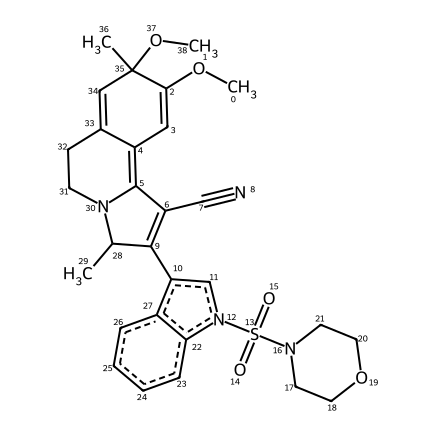 COC1=CC2=C3C(C#N)=C(c4cn(S(=O)(=O)N5CCOCC5)c5ccccc45)C(C)N3CCC2=CC1(C)OC